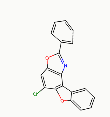 Clc1cc2oc(-c3ccccc3)nc2c2c1oc1ccccc12